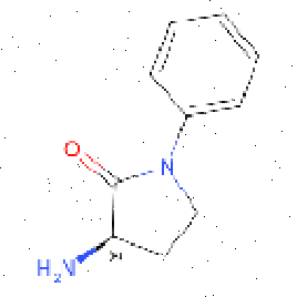 N[C@@H]1CCN(c2ccccc2)C1=O